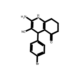 N#CC1=C(N)NC2=C(C(=O)CCC2)C1c1ccc(Br)cc1